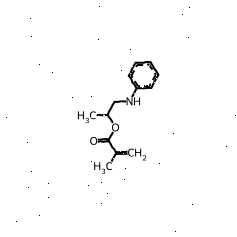 C=C(C)C(=O)OC(C)CNc1ccccc1